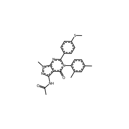 CSc1ccc(-c2nc3c(c(NC(C)=O)nn3C)c(=O)n2-c2ccc(C)cc2C)cc1